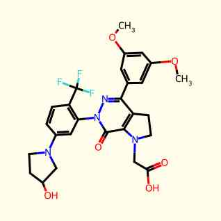 COc1cc(OC)cc(-c2nn(-c3cc(N4CCC(O)C4)ccc3C(F)(F)F)c(=O)c3c2CCN3CC(=O)O)c1